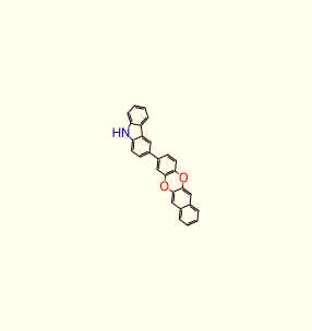 c1ccc2cc3c(cc2c1)Oc1ccc(-c2ccc4[nH]c5ccccc5c4c2)cc1O3